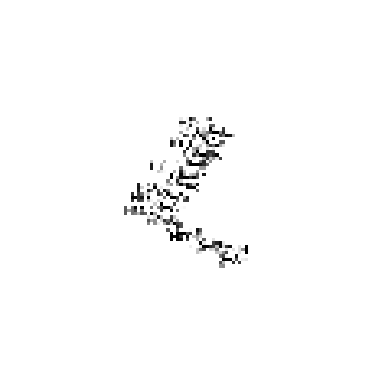 CC(=O)CC(=O)O.CC(=O)CC(=O)O.CC(=O)CC(=O)O.CC(=O)CC(=O)O.CC(=O)CC(=O)O.CC(=O)CC(=O)O.CC(=O)CC(=O)O.CC(=O)CC(=O)O.CC(=O)CC(=O)O.CC(=O)CC(=O)O.CC(=O)CC(=O)O.CC(=O)CC(=O)O